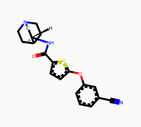 N#Cc1cccc(Oc2ccc(C(=O)N[C@H]3CN4CCC3CC4)s2)c1